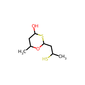 CC(S)CC1OC(C)CC(O)S1